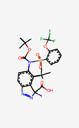 CC(C)(C)OC(=O)N(c1ccc2c(c1C(C)(C)C)C(I)(C(=O)O)N=N2)S(=O)(=O)c1ccccc1OC(F)(F)F